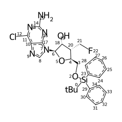 CC(C)(C)[Si](OC[C@H]1O[C@@H](n2cnc3c(Cl)nc(N)nc32)[C@H](O)[C@@H]1CF)(c1ccccc1)c1ccccc1